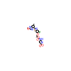 COC(=O)c1ccc(NC(=O)O[C@H](C)COc2cc3sc(-c4cc(C)cc5nc(OC)cnc45)nc3cc2F)cn1